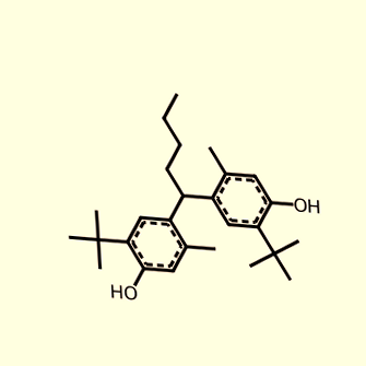 CCCCC(c1cc(C(C)(C)C)c(O)cc1C)c1cc(C(C)(C)C)c(O)cc1C